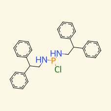 ClP(NCC(c1ccccc1)c1ccccc1)NCC(c1ccccc1)c1ccccc1